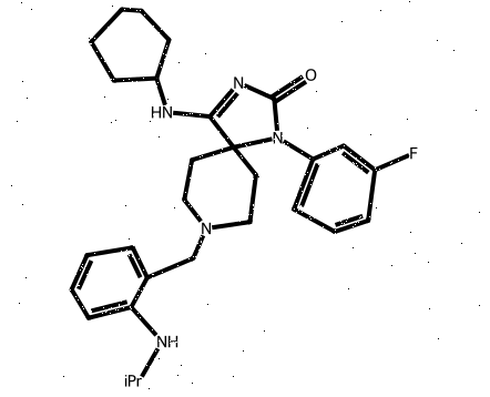 CC(C)Nc1ccccc1CN1CCC2(CC1)C(NC1CCCCC1)=NC(=O)N2c1cccc(F)c1